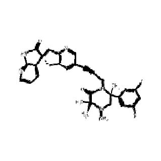 CC1(C)C(=O)N(CC#Cc2cnc3c(c2)C[C@@]2(C3)C(=O)Nc3ncccc32)[C@](C)(c2cc(F)cc(F)c2)CN1N